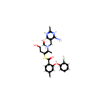 CC(=C(CCO)SC(=O)c1ccc(C)cc1Oc1ccccc1Cl)N(C=O)Cc1cnc(C)nc1N